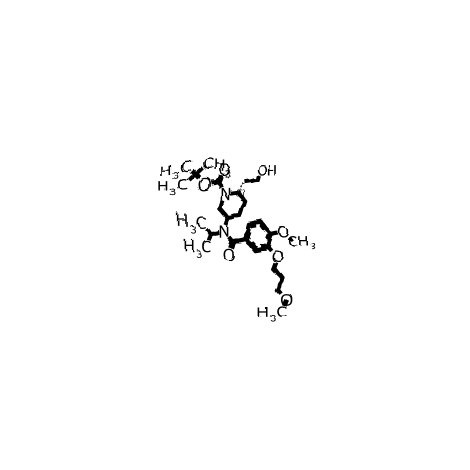 COCCCOc1cc(C(=O)N(C(C)C)C2CC[C@@H](CCO)N(C(=O)OC(C)(C)C)C2)ccc1OC